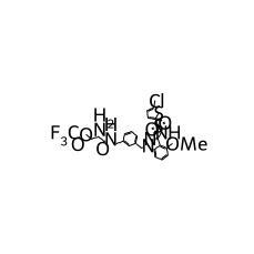 COc1cccc2c1c(NS(=O)(=O)c1ccc(Cl)s1)nn2Cc1cccc(CNC(=O)[C@H](N)COC(=O)C(F)(F)F)c1